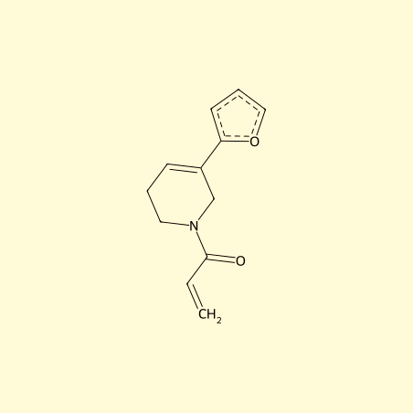 C=CC(=O)N1CCC=C(c2ccco2)C1